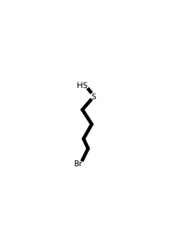 SSCCCCBr